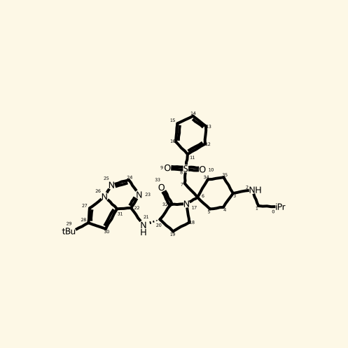 CC(C)CNC1CCC(CS(=O)(=O)c2ccccc2)(N2CC[C@H](Nc3ncnn4cc(C(C)(C)C)cc34)C2=O)CC1